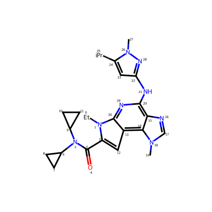 CCn1c(C(=O)N(C2CC2)C2CC2)cc2c3c(ncn3C)c(Nc3cc(C(C)C)n(C)n3)nc21